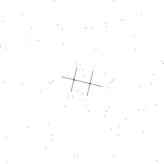 O=C(O)OC(Br)(Br)C(Br)(Br)OC(=O)O